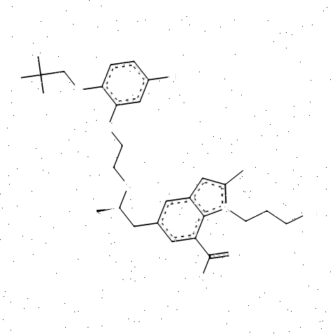 Cc1cc2cc(C[C@@H](C)NCCOc3cc(Cl)ccc3OCC(F)(F)F)cc(C(N)=O)c2n1CCCO